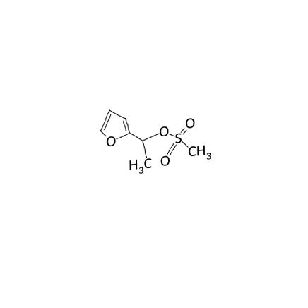 CC(OS(C)(=O)=O)c1ccco1